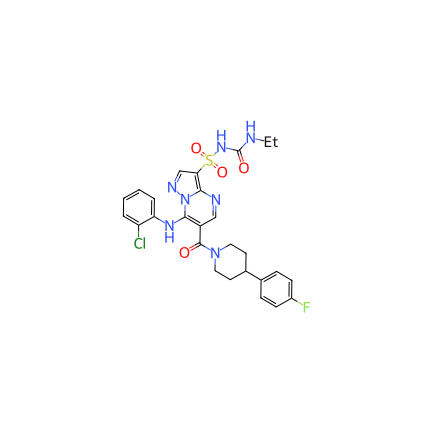 CCNC(=O)NS(=O)(=O)c1cnn2c(Nc3ccccc3Cl)c(C(=O)N3CCC(c4ccc(F)cc4)CC3)cnc12